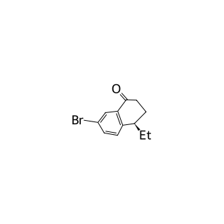 CC[C@@H]1CCC(=O)c2cc(Br)ccc21